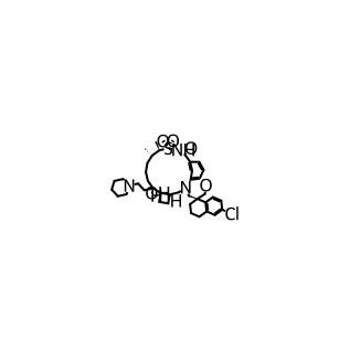 C[C@@H]1[C@@H](C)CCC[C@](O)(CCN2CCCCC2)[C@@H]2CC[C@H]2CN2C[C@@]3(CCCc4cc(Cl)ccc43)COc3ccc(cc32)C(=O)NS1(=O)=O